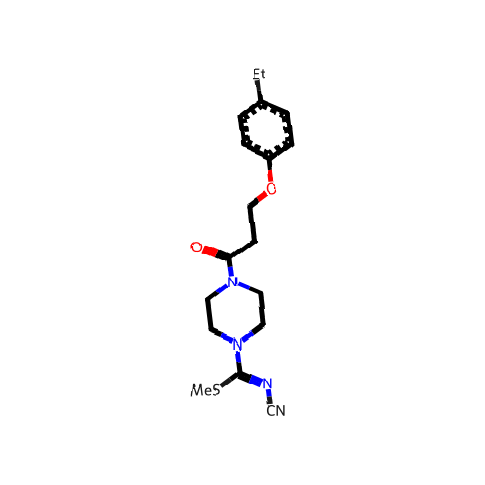 CCc1ccc(OCCC(=O)N2CCN(C(=NC#N)SC)CC2)cc1